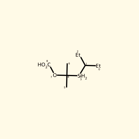 CCC(CC)[SiH2]C(C)(C)OC(=O)O